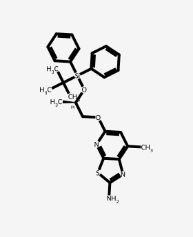 Cc1cc(OC[C@@H](C)O[Si](c2ccccc2)(c2ccccc2)C(C)(C)C)nc2sc(N)nc12